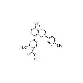 C[C@@H]1CN(c2ccc(C(F)(F)F)c3c2CN(c2cnc(C(F)(F)F)nc2)CC3)CCN1C(=O)OC(C)(C)C